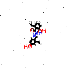 CCc1cc(O)ccc1/C=N/NC(=O)c1c(O)cccc1CC